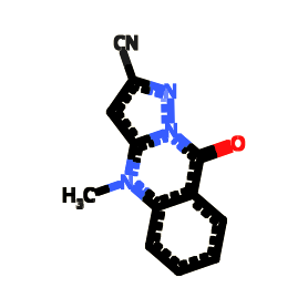 Cn1c2ccccc2c(=O)n2nc(C#N)cc12